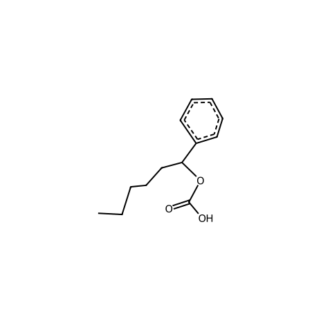 CCCCCC(OC(=O)O)c1ccccc1